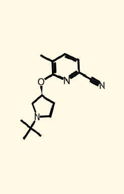 Cc1ccc(C#N)nc1O[C@H]1CCN(C(C)(C)C)C1